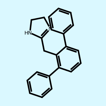 c1ccc(-c2cccc(-c3ccccc3)c2CC2=NCCN2)cc1